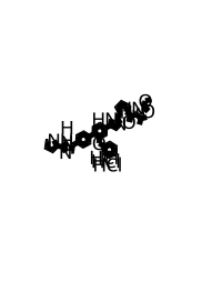 COC(=O)N[C@H](C(=O)N1CCCC1c1ncc(-c2ccc(-c3ccc(-c4cnc(C5CCCN5)[nH]4)cc3)c(Oc3ccccc3)c2)[nH]1)C(C)C.Cl.Cl.Cl